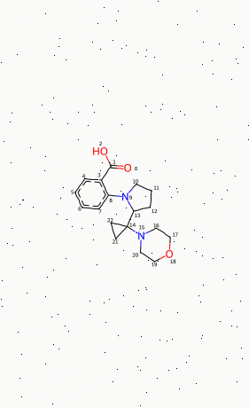 O=C(O)c1ccccc1N1CCCC1C1(N2CCOCC2)CC1